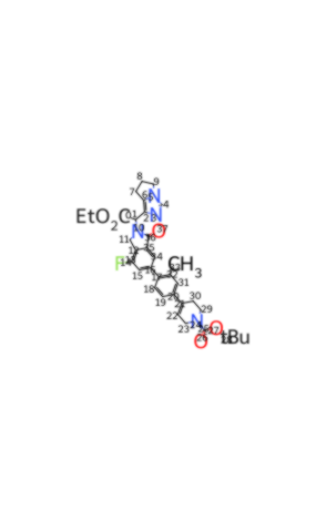 CCOC(=O)C(c1ncn2c1CCC2)N1Cc2c(F)cc(-c3ccc(C4=CCN(C(=O)OC(C)(C)C)CC4)cc3C)cc2C1=O